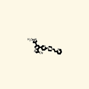 Cn1cc(-c2cc(-c3ccc(N4CCN(CCc5ccccn5)CC4)nc3)c3c(C#N)cnn3c2)cn1